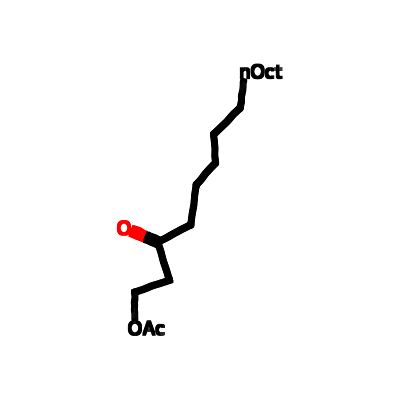 CCCCCCCCCCCCCC(=O)CCOC(C)=O